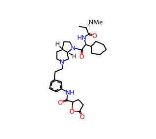 CN[C@@H](C)C(=O)N[C@H](C(=O)N1CC[C@H]2CCN(CCc3cccc(NC(=O)C4CCC(=O)O4)c3)C[C@H]21)C1CCCCC1